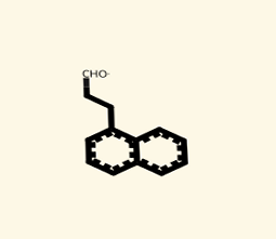 O=[C]CCc1cccc2ccccc12